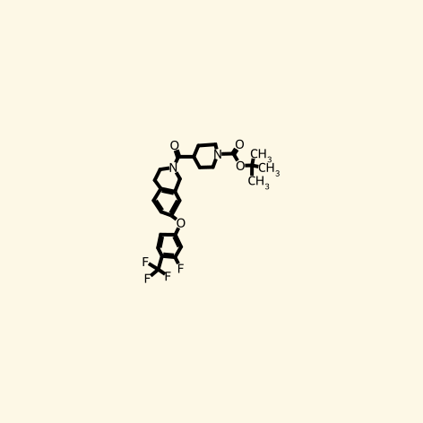 CC(C)(C)OC(=O)N1CCC(C(=O)N2CCc3ccc(Oc4ccc(C(F)(F)F)c(F)c4)cc3C2)CC1